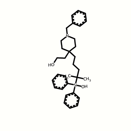 CC(C)(CCCC1(CCO)CCN(Cc2ccccc2)CC1)[Si](O)(c1ccccc1)c1ccccc1